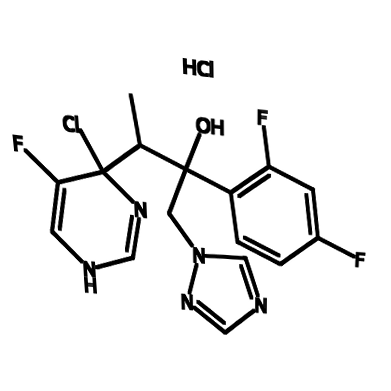 CC(C1(Cl)N=CNC=C1F)C(O)(Cn1cncn1)c1ccc(F)cc1F.Cl